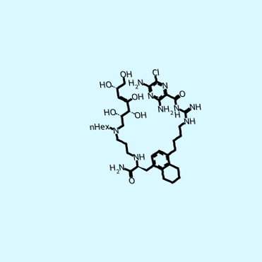 CCCCCCN(CCCN[C@@H](Cc1ccc(CCCCNC(=N)NC(=O)c2nc(Cl)c(N)nc2N)c2c1CCCC2)C(N)=O)C[C@H](O)[C@@H](O)C(O)=C[C@H](O)CO